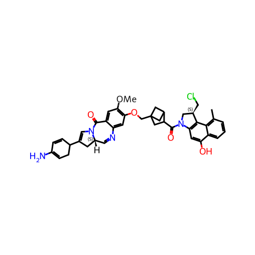 COc1cc2c(cc1OCC13CC(C1)C(C(=O)N1C[C@@H](CCl)c4c1cc(O)c1cccc(C)c41)C3)N=C[C@@H]1CC(C3C=CC(N)=CC3)=CN1C2=O